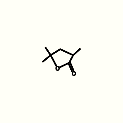 CC1CC(C)(C)OC1=O